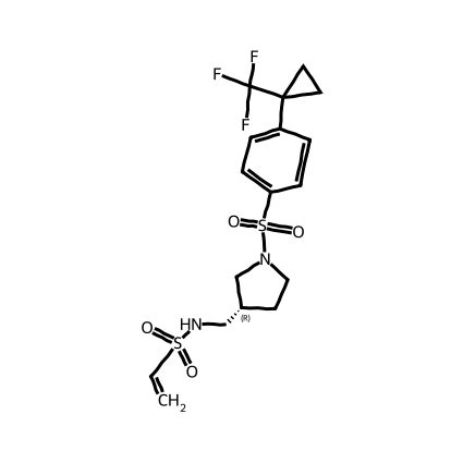 C=CS(=O)(=O)NC[C@H]1CCN(S(=O)(=O)c2ccc(C3(C(F)(F)F)CC3)cc2)C1